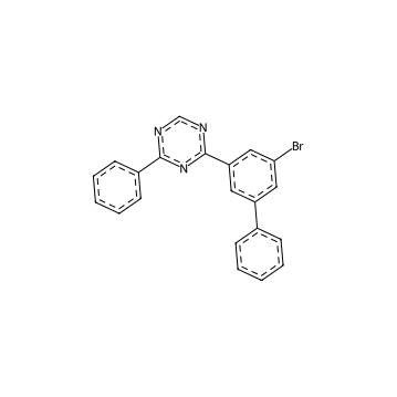 Brc1cc(-c2ccccc2)cc(-c2ncnc(-c3ccccc3)n2)c1